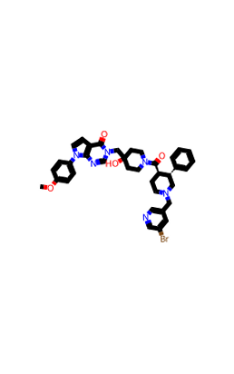 COc1ccc(-n2ccc3c(=O)n(CC4(O)CCN(C(=O)[C@@H]5CCN(Cc6cncc(Br)c6)C[C@H]5c5ccccc5)CC4)cnc32)cc1